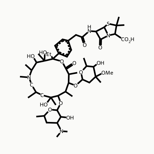 CCC1(c2ccc(CC(=O)NC3C(=O)N4C3SC(C)(C)C4C(=O)O)cc2)OC(=O)C(C)C(OC2CC(C)(OC)C(O)C(C)O2)C(C)C(OC2OC(C)CC(N(C)C)C2O)C(C)(O)CC(C)CN(C)C(C)C(O)C1(C)O